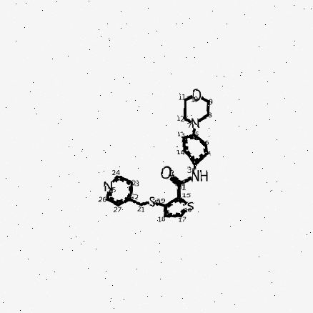 O=C(Nc1ccc(N2CCOCC2)cc1)c1sccc1SCc1ccncc1